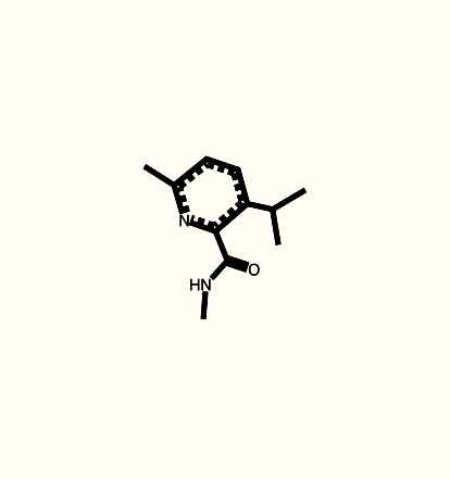 CNC(=O)c1nc(C)ccc1C(C)C